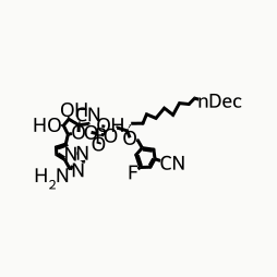 CCCCCCCCCCCCCCCCCCC[C@@H](COP(=O)(O)OC[C@@]1(C#N)OC(c2ccc3c(N)ncnn23)[C@H](O)[C@@H]1O)OCc1cc(F)cc(C#N)c1